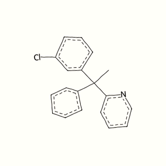 CC(c1ccccc1)(c1cccc(Cl)c1)c1ccccn1